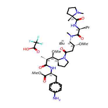 CC[C@H](C)[C@@H]([C@@H](CC(=O)N1CCC[C@H]1[C@H](OC)[C@@H](C)C(=O)N[C@@H](Cc1ccc(N)cc1)C(=O)OC)OC)N(C)C(=O)[C@@H](NC(=O)[C@]1(C)CCCN1C)C(C)C.O=C(O)C(F)(F)F